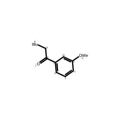 COc1cccc(C(=O)CC(C)(C)C)c1